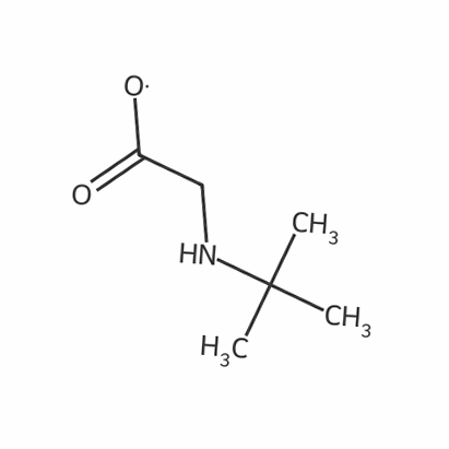 CC(C)(C)NCC([O])=O